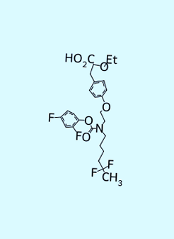 CCOC(Cc1ccc(OCCN(CCCCC(C)(F)F)C(=O)Oc2ccc(F)cc2F)cc1)C(=O)O